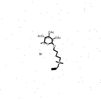 C#CC[N+](C)(C)CCCCOC1O[C@@H](C)[C@H](OC(C)=O)[C@@H](OC(C)=O)[C@H]1OC(C)=O.[Br-]